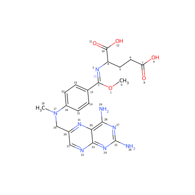 CO/C(=N\C(CCC(=O)O)C(=O)O)c1ccc(N(C)Cc2cnc3nc(N)nc(N)c3n2)cc1